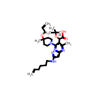 C=CCCCCNc1cc2nc(C)c(C(OC(C)(C)C)C(=O)O)c(N3CCC(C)(OCC=C)CC3)n2n1